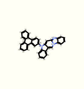 c1ccc2c(c1)nc1cc3c(cn12)c1ccccc1n3-c1ccc2c3ccccc3c3ccccc3c2c1